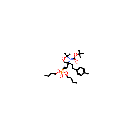 CCCCOP(=O)(/C=C/C1(CCc2ccc(C)cc2)COC(C)(C)N1C(=O)OC(C)(C)C)OCCCC